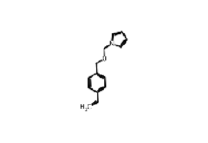 C=Cc1ccc(COCn2cccc2)cc1